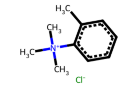 Cc1ccccc1[N+](C)(C)C.[Cl-]